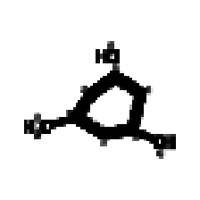 Cc1cccc(O)c1.Cl